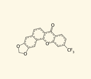 O=c1c2ccc(C(F)(F)F)cc2oc2c1ccc1cc3c(cc12)OCO3